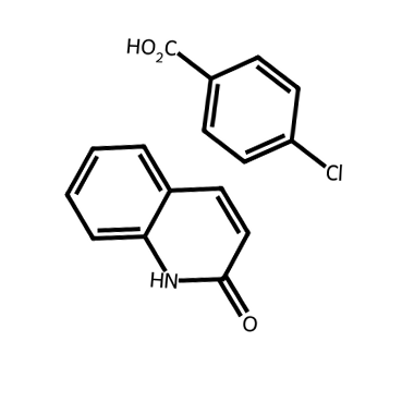 O=C(O)c1ccc(Cl)cc1.O=c1ccc2ccccc2[nH]1